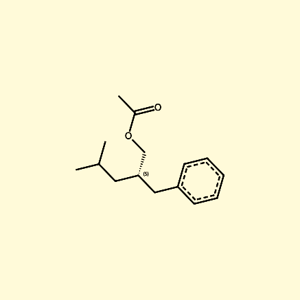 CC(=O)OC[C@H](Cc1ccccc1)CC(C)C